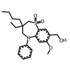 CCCCC1(CC)CN(c2ccccc2)c2cc(OC)c(CO)cc2S(=O)(=O)C1